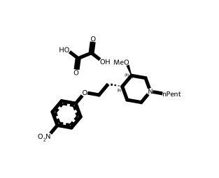 CCCCCN1CC[C@H](CCOc2ccc([N+](=O)[O-])cc2)[C@@H](OC)C1.O=C(O)C(=O)O